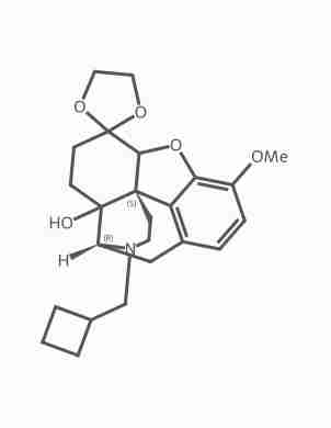 COc1ccc2c3c1OC1C4(CCC5(O)[C@@H](C2)N(CC2CCC2)CC[C@]315)OCCO4